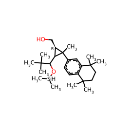 C[SiH](C)OC(C1[C@@H](CO)C1(C)c1ccc2c(c1)C(C)(C)CCC2(C)C)C(C)(C)C